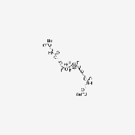 CCC(C)C(=O)OCCNC(=O)OCCOCOC(F)(F)OC(F)(F)C(F)(F)OC(F)(F)COCCOC(=O)NCCOC(=O)C(C)CC